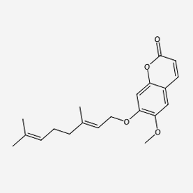 COc1cc2ccc(=O)oc2cc1OC/C=C(\C)CCC=C(C)C